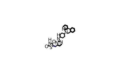 O=C1NC(=O)/C(=C\c2ccnc(NC3CCC(NCc4ccccc4-c4cccnc4)CC3)n2)S1